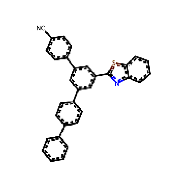 N#Cc1ccc(-c2cc(-c3ccc(-c4ccccc4)cc3)cc(-c3nc4ccccc4s3)c2)cc1